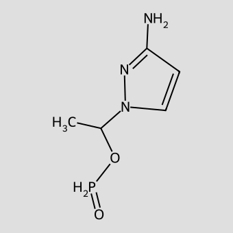 CC(O[PH2]=O)n1ccc(N)n1